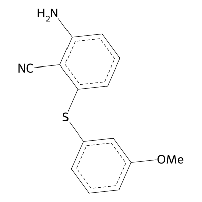 COc1cccc(Sc2cccc(N)c2C#N)c1